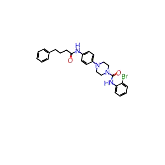 O=C(CCCc1ccccc1)Nc1ccc(N2CCN(C(=O)Nc3ccccc3Br)CC2)cc1